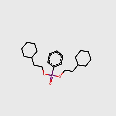 O=P(OCCC1CCCCC1)(OCCC1CCCCC1)c1ccccc1